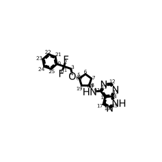 FC(F)(CO[C@@H]1CC[C@@H](Nc2ncnc3[nH]ncc23)C1)c1ccccc1